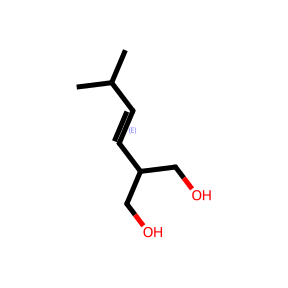 CC(C)/C=C/C(CO)CO